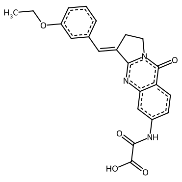 CCOc1cccc(C=C2CCn3c2nc2cc(NC(=O)C(=O)O)ccc2c3=O)c1